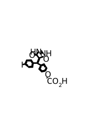 O=C(O)COc1ccc(C(=C2C(=O)NNC2=O)c2ccc(I)cc2)cc1